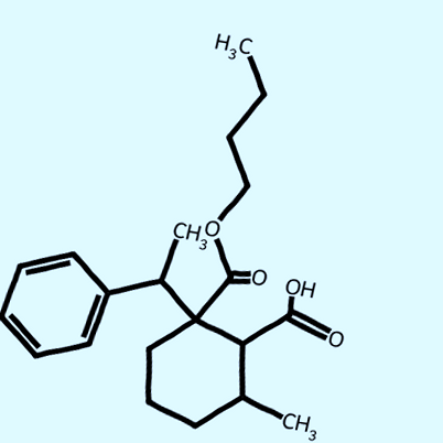 CCCCOC(=O)C1(C(C)c2ccccc2)CCCC(C)C1C(=O)O